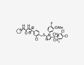 COc1cc(-n2c(C(C)(C)c3ccc(Cl)c(Cl)c3)cnc2SCc2ccc(S(=O)(=O)NC(=O)NN3CCCC3)cc2Cl)ccc1F